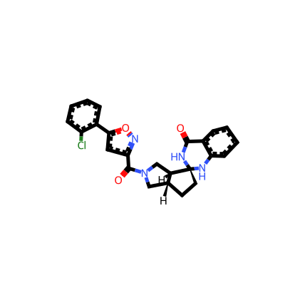 O=C1N[C@]2(CC[C@@H]3CN(C(=O)c4cc(-c5ccccc5Cl)on4)C[C@@H]32)Nc2ccccc21